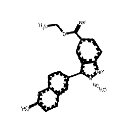 CCOC(=N)c1ccc2[nH]nc(-c3ccc4cc(O)ccc4c3)c2c1.Cl.Cl